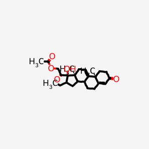 CCC1CC2C3CCC4=CC(=O)CC[C@]4(C)C3=CC[C@]2(C)[C@@]1(O)C(=O)COC(C)=O